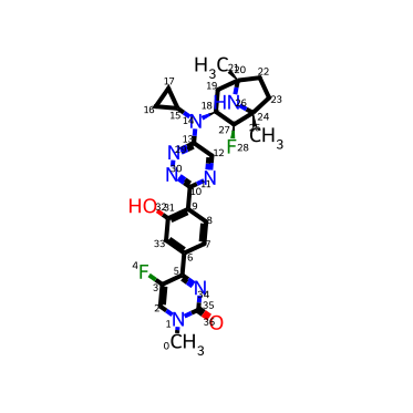 Cn1cc(F)c(-c2ccc(-c3ncc(N(C4CC4)[C@H]4C[C@]5(C)CC[C@@](C)(N5)[C@H]4F)nn3)c(O)c2)nc1=O